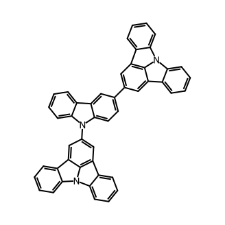 c1ccc2c(c1)c1cc(-c3cc4c5ccccc5n5c6ccccc6c(c3)c45)ccc1n2-c1cc2c3ccccc3n3c4ccccc4c(c1)c23